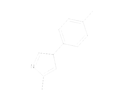 CC1=CC(c2ccc(C)cc2)C=N1